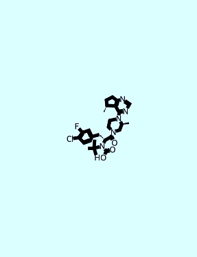 C[C@@H]1CCc2ncnc(N3CCN(C(=O)[C@@H](Cc4ccc(Cl)c(F)c4)N(C(=O)O)C(C)(C)C)C[C@@H]3C)c21